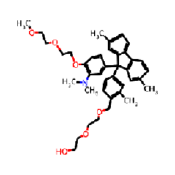 COCCOCCOc1ccc(C2(c3ccc(COCCOCCO)c(C)c3)c3cc(C)ccc3-c3ccc(C)cc32)cc1N(C)C